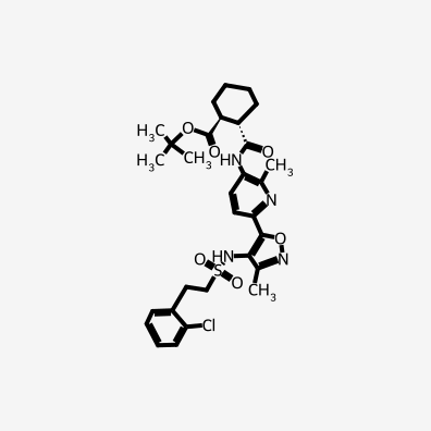 Cc1nc(-c2onc(C)c2NS(=O)(=O)CCc2ccccc2Cl)ccc1NC(=O)[C@H]1CCCC[C@@H]1C(=O)OC(C)(C)C